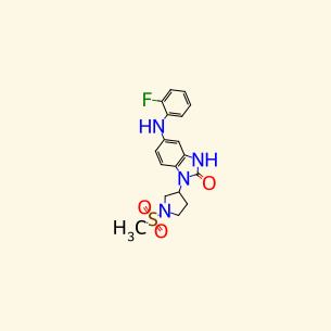 CS(=O)(=O)N1CCC(n2c(=O)[nH]c3cc(Nc4ccccc4F)ccc32)C1